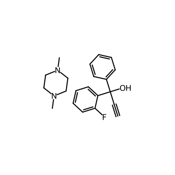 C#CC(O)(c1ccccc1)c1ccccc1F.CN1CCN(C)CC1